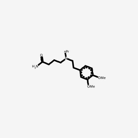 CCCN(CCCC(N)=O)CCc1ccc(OC)c(OC)c1